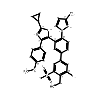 CS(=O)(=O)c1cc(-c2ccc(-n3ccc(C(F)(F)F)n3)c(-c3oc(C4CC4)nc3-c3ccc(OC(F)(F)F)cc3)c2)cc(F)c1CO